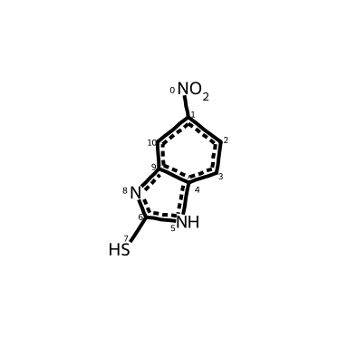 O=[N+]([O-])c1ccc2[nH]c(S)nc2c1